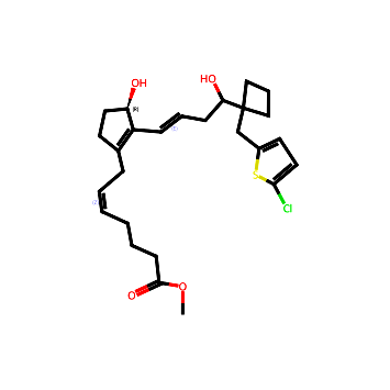 COC(=O)CCC/C=C\CC1=C(/C=C/CC(O)C2(Cc3ccc(Cl)s3)CCC2)[C@H](O)CC1